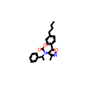 CCCCc1ccc(-c2onc(C)c2N(C(=O)O)C(C)c2ccccc2)cc1